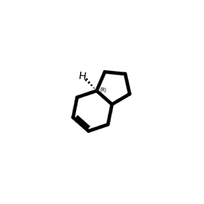 C1=CC[C@H]2CCCC2C1